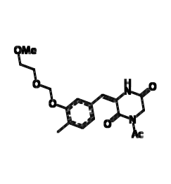 COCCOCOc1cc(/C=C2/NC(=O)CN(C(C)=O)C2=O)ccc1C